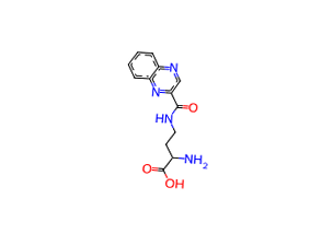 NC(CCNC(=O)c1cnc2ccccc2n1)C(=O)O